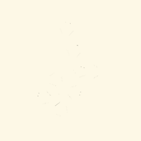 c1ccc(-c2ccc(-c3sc(-c4cccc5c4-c4ccccc4C5(c4ccccc4)c4ccccc4)c4ccccc34)cc2)cc1